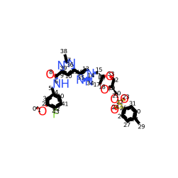 COc1cc(CNC(=O)c2cc(-c3cn(C[C@H]4CO[C@H](COS(=O)(=O)c5ccc(C)cc5)CO4)nn3)nc(C)n2)ccc1F